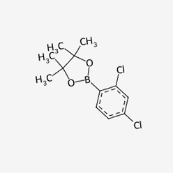 CC1(C)OB(c2ccc(Cl)cc2Cl)OC1(C)C